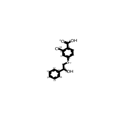 O=C(O)c1ccc(SCC(O)c2ccccc2)cc1Cl